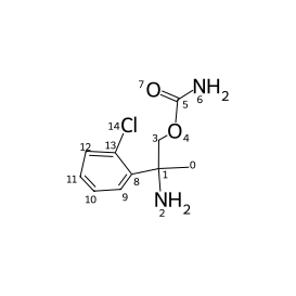 CC(N)(COC(N)=O)c1ccccc1Cl